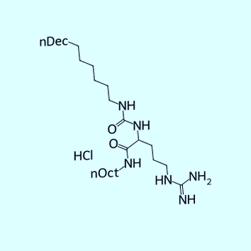 CCCCCCCCCCCCCCCCNC(=O)NC(CCCNC(=N)N)C(=O)NCCCCCCCC.Cl